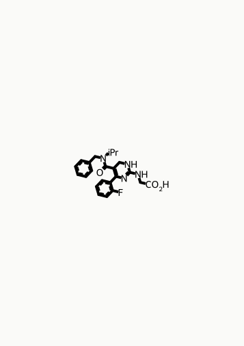 CC(C)N(Cc1ccccc1)C(=O)C1=C(c2ccccc2F)N=C(NCC(=O)O)NC1